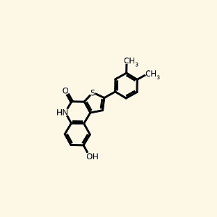 Cc1ccc(-c2cc3c(s2)c(=O)[nH]c2ccc(O)cc23)cc1C